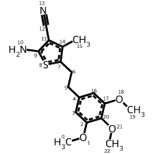 COc1cc(CCc2sc(N)c(C#N)c2C)cc(OC)c1OC